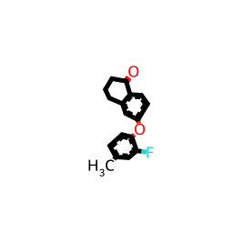 Cc1ccc(Oc2ccc3c(c2)CCCC3=O)c(F)c1